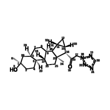 C[C@@]1(O)CC[C@H]2[C@H](CC[C@H]3C4[C@@H]5C[C@@H]5[C@H](C(=O)Cn5ncnn5)[C@@]4(C)CC[C@H]23)C1